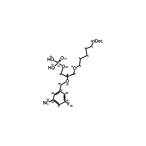 CCCCCCCCCCCCCCCOC[C@H](COP(=O)(O)O)OCc1cc(F)cc(C#N)c1